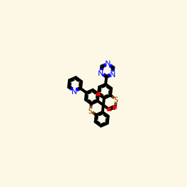 c1ccc(-c2ccc3c(c2)Sc2ccccc2C32c3ccccc3Sc3cc(-c4ncncn4)ccc32)nc1